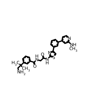 CNc1cc(-c2cccc(-c3csc(NC(=O)CNC(=O)c4cccc(C(C)(C)CN)c4)n3)c2)ccn1